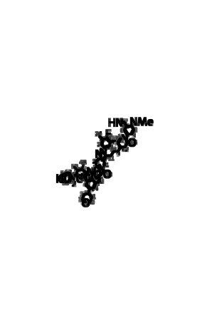 CNc1ccc(N2C=CC(CCCc3c4c(nn3-c3cc(C)c(F)c(C)c3)CCN(C(=O)c3cc5cc(C6CCOCC6)cc(N(C(=N)[C@H](C)[C@H](C)CN6CCOCC6)C(=O)O)c5[nH]3)C4)CC2=O)cc1C=N